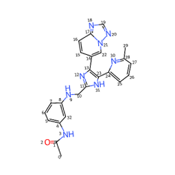 CC(=O)Nc1cccc(NCc2nc(-c3ccc4ncnn4c3)c(-c3cccc(C)n3)[nH]2)c1